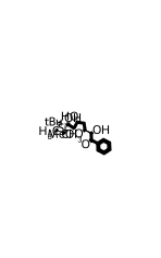 CO[C@@]1(C(O)[Si](C)(C)C(C)(C)C)O[C@H](C(O)C(=O)c2ccccc2)C[C@@H]1O